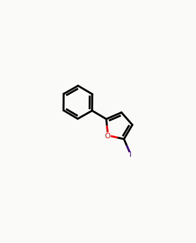 Ic1ccc(-c2ccccc2)o1